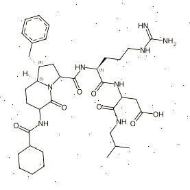 CC(C)CNC(=O)C(CC(=O)O)NC(=O)[C@H](CCCNC(=N)N)NC(=O)C1C[C@@H](Cc2ccccc2)[C@@H]2CCC(NC(=O)C3CCCCC3)C(=O)N12